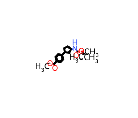 COC(=O)c1ccc(C2CCC(NC(=O)OC(C)(C)C)C2)cc1